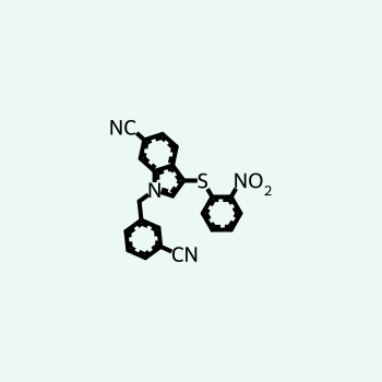 N#Cc1cccc(Cn2cc(Sc3ccccc3[N+](=O)[O-])c3ccc(C#N)cc32)c1